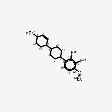 CCCC1C=CC(C2CCC(c3ccc(OCC)c(F)c3F)CC2)CC1